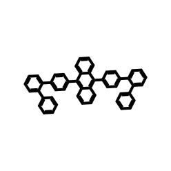 c1ccc(-c2ccccc2-c2ccc(-c3c4ccccc4c(-c4ccc(-c5ccccc5-c5ccccc5)cc4)c4ccccc34)cc2)cc1